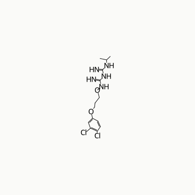 CC(C)NC(=N)NC(=N)NOCCCOc1ccc(Cl)c(Cl)c1